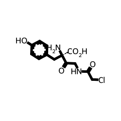 N[C@@](Cc1ccc(O)cc1)(C(=O)O)C(=O)CNC(=O)CCl